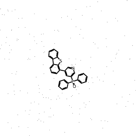 O=P(c1ccccc1)(c1ccccc1)c1cncc(-c2cccc3c2sc2ccccc23)c1